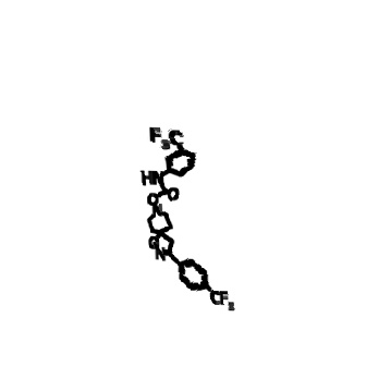 O=C(Nc1cccc(C(F)(F)F)c1)ON1CCC2(CC1)CC(c1ccc(C(F)(F)F)cc1)=NO2